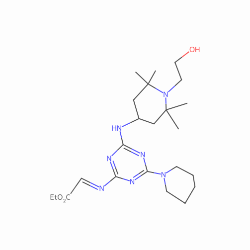 CCOC(=O)/C=N/c1nc(NC2CC(C)(C)N(CCO)C(C)(C)C2)nc(N2CCCCC2)n1